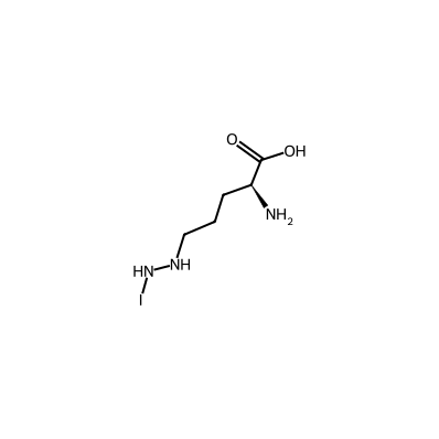 N[C@@H](CCCNNI)C(=O)O